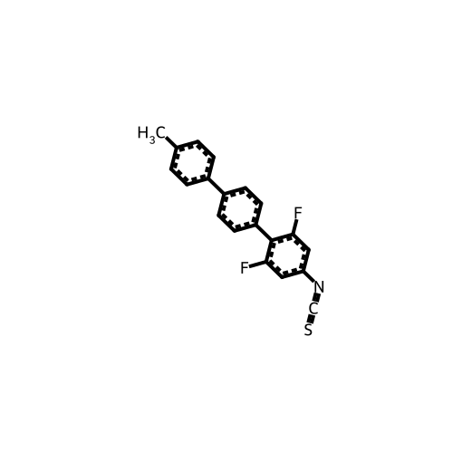 Cc1ccc(-c2ccc(-c3c(F)cc(N=C=S)cc3F)cc2)cc1